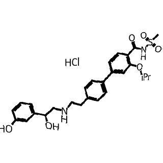 CC(C)Oc1cc(-c2ccc(CCNC[C@@H](O)c3cccc(O)c3)cc2)ccc1C(=O)NS(C)(=O)=O.Cl